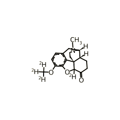 [2H]C([2H])([2H])Oc1ccc2c3c1OC1([2H])C(=O)CC[C@H]4[C@@H](C2)N(C)CC[C@@]341